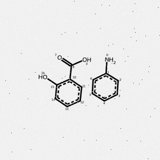 Nc1ccccc1.O=C(O)c1ccccc1O